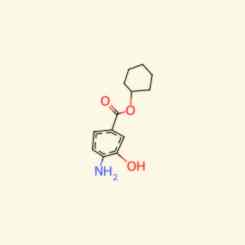 Nc1ccc(C(=O)OC2CCCCC2)cc1O